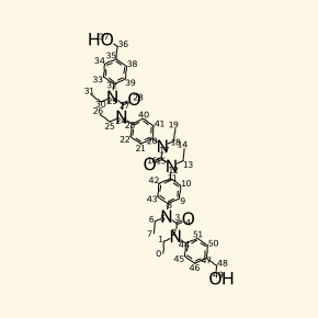 CCN(C(=O)N(CC)c1ccc(N(CC)C(=O)N(CC)c2ccc(N(CC)C(=O)N(CC)c3ccc(CO)cc3)cc2)cc1)c1ccc(CO)cc1